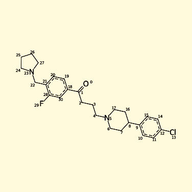 O=C(CCCN1CCC(c2ccc(Cl)cc2)CC1)c1ccc(CN2CCCC2)c(F)c1